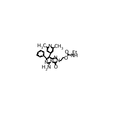 CCNC(=O)OCCn1nc2c(-c3cc(C)nc(C)c3)c(-c3ccccc3)nc(N)n2c1=O